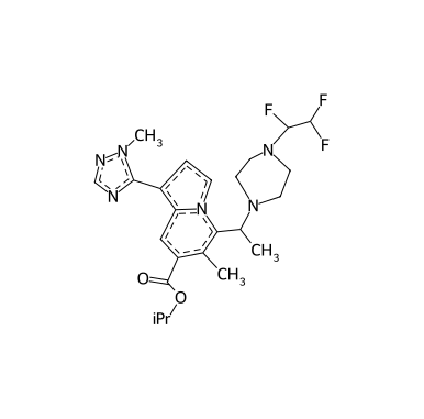 Cc1c(C(=O)OC(C)C)cc2c(-c3ncnn3C)ccn2c1C(C)N1CCN(C(F)C(F)F)CC1